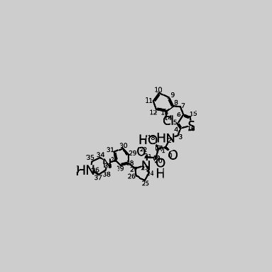 O=C(NCc1cc(Cc2ccccc2Cl)cs1)[C@H](O)[C@@H](O)C(=O)N1CCCC1c1cccc(N2CCNCC2)c1